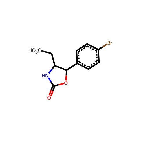 O=C(O)CC1NC(=O)OC1c1ccc(Br)cc1